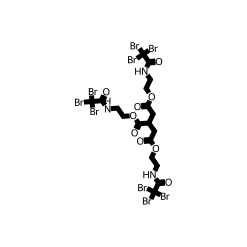 O=C(CC(CC(=O)OCCNC(=O)C(Br)(Br)Br)C(=O)OCCNC(=O)C(Br)(Br)Br)OCCNC(=O)C(Br)(Br)Br